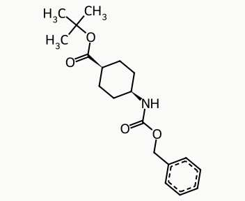 CC(C)(C)OC(=O)[C@H]1CC[C@@H](NC(=O)OCc2ccccc2)CC1